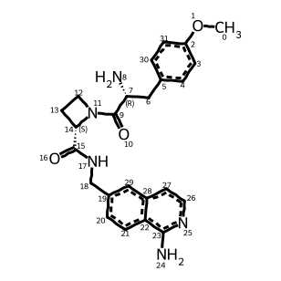 COc1ccc(C[C@@H](N)C(=O)N2CC[C@H]2C(=O)NCc2ccc3c(N)nccc3c2)cc1